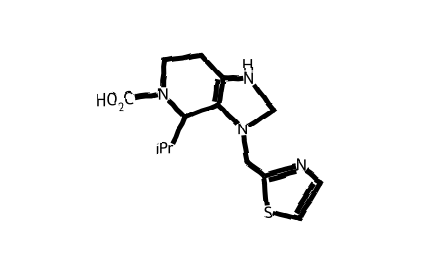 CC(C)C1C2=C(CCN1C(=O)O)NCN2Cc1nccs1